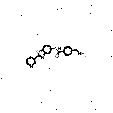 NCc1ccc(C(=O)Nc2ccc3oc(-c4cccnc4)nc3c2)cc1